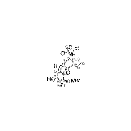 CCOC(=O)C(=O)Nc1cc(C)c(Oc2ccc(O)c(C(C)C)c2OC)c2c1CCC2